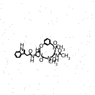 CC(=O)N[C@H]1CN(C)C(=O)c2cccc(c2)OC[C@@H]2C[C@@H](NC(=O)Cc3c[nH]c4ccccc34)CN2C(=O)CN(C)C1=O